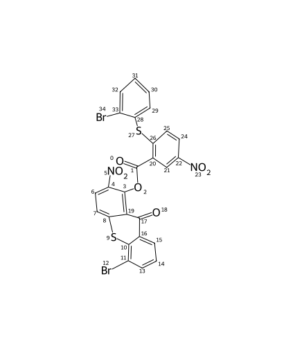 O=C(Oc1c([N+](=O)[O-])ccc2sc3c(Br)cccc3c(=O)c12)c1cc([N+](=O)[O-])ccc1Sc1ccccc1Br